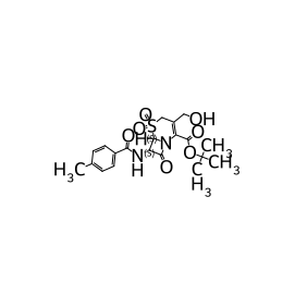 Cc1ccc(C(=O)N[C@H]2C(=O)N3C(C(=O)OC(C)(C)C)=C(CO)CS(=O)(=O)[C@@H]23)cc1